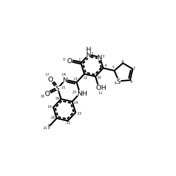 O=c1[nH]nc(C2CC=CS2)c(O)c1C1=NS(=O)(=O)c2cc(I)ccc2N1